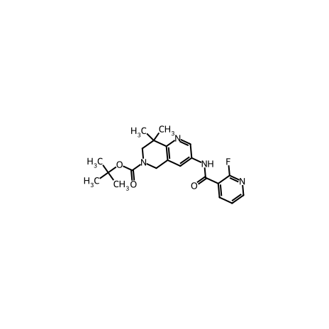 CC(C)(C)OC(=O)N1Cc2cc(NC(=O)c3cccnc3F)cnc2C(C)(C)C1